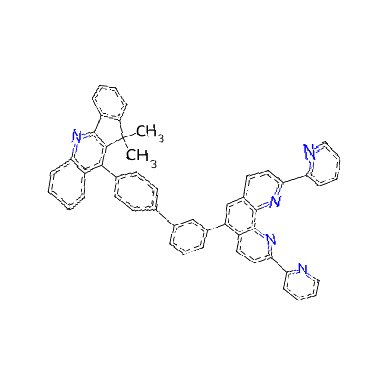 CC1(C)c2ccccc2-c2nc3ccccc3c(-c3ccc(-c4cccc(-c5cc6ccc(-c7ccccn7)nc6c6nc(-c7ccccn7)ccc56)c4)cc3)c21